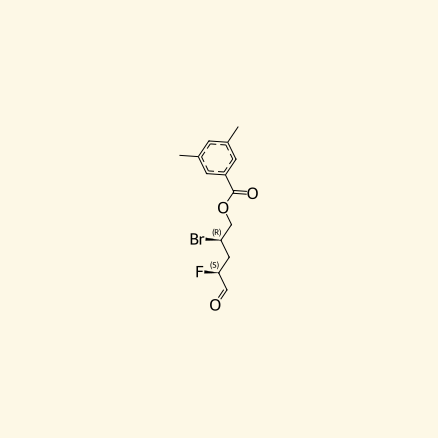 Cc1cc(C)cc(C(=O)OC[C@H](Br)C[C@H](F)C=O)c1